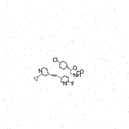 O=C1N[C@H](c2cc(C#Cc3ccnc(C4CC4)c3)cnc2F)[C@@H](c2ccc(Cl)cc2)O1